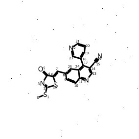 CSC1=NC(=O)/C(=C/c2ccc3ncc(C#N)c(-c4cccnc4)c3c2)S1